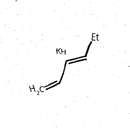 C=CC=CCC.[KH]